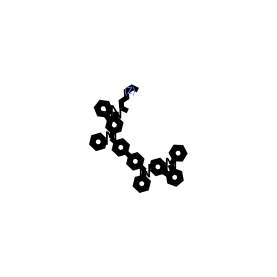 C/C=C\CCC(C)n1c2ccccc2c2cc(N(c3ccccc3)c3ccc(-c4ccc(N(c5ccccc5)c5ccc6c(c5)c5ccccc5n6-c5ccccc5)cc4)cc3)ccc21